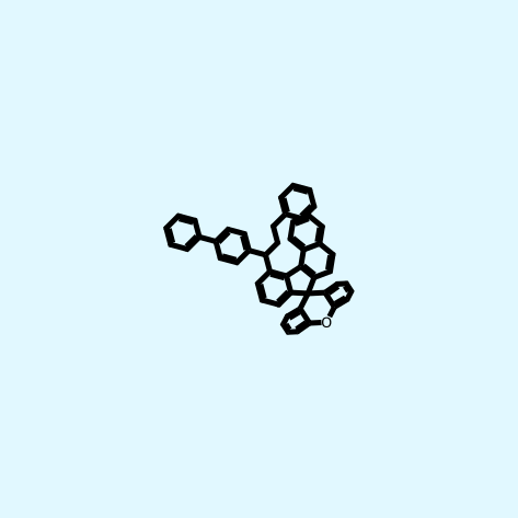 c1ccc(CCC(c2ccc(-c3ccccc3)cc2)c2cccc3c2-c2c(ccc4ccccc24)C32c3ccccc3Oc3ccccc32)cc1